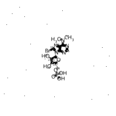 CN(C)c1ncnc2c1nc(Br)n2[C@@H]1O[C@H](COP(=O)(O)O)[C@@H](O)[C@H]1O